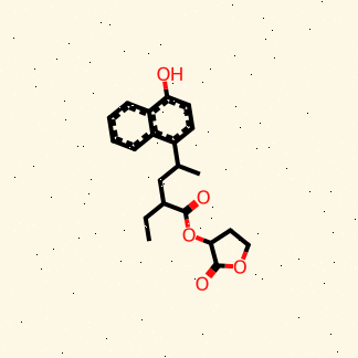 CCC(CC(C)c1ccc(O)c2ccccc12)C(=O)OC1CCOC1=O